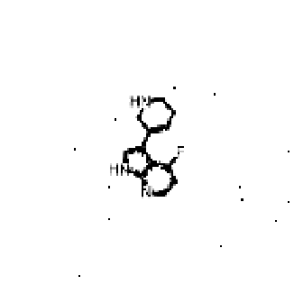 Fc1ccnc2[nH]cc(C3=CCCNC3)c12